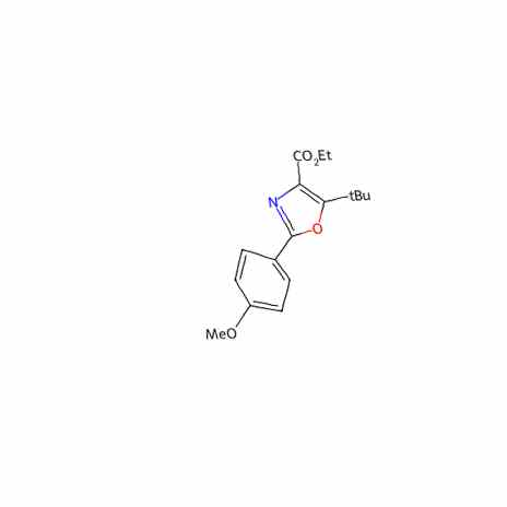 CCOC(=O)c1nc(-c2ccc(OC)cc2)oc1C(C)(C)C